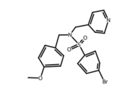 COc1ccc(CN(Cc2ccncc2)S(=O)(=O)c2ccc(Br)cc2)cc1